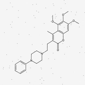 COc1cc2oc(=O)c(CCN3CCN(c4ccccc4)CC3)c(C)c2c(OC)c1OC